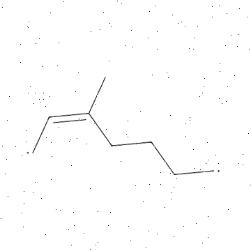 [CH2]C=C(C)CCC[CH2]